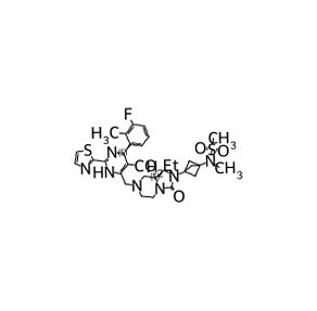 CCOC(=O)C1=C(CN2CCN3C(=O)N(C45CC(N(C)S(C)(=O)=O)(C4)C5)C[C@@H]3C2)NC(c2nccs2)=N[C@H]1c1cccc(F)c1C